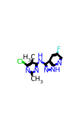 Cc1nc(Cl)c(C)c(Nc2n[nH]c3ncc(F)cc23)n1